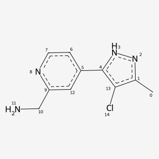 Cc1n[nH]c(-c2ccnc(CN)c2)c1Cl